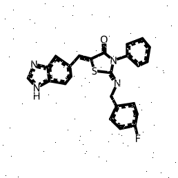 O=C1C(=Cc2ccc3[nH]cnc3c2)SC(=NCc2ccc(F)cc2)N1c1ccccc1